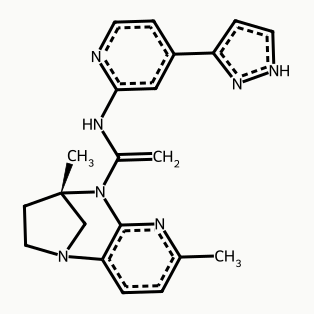 C=C(Nc1cc(-c2cc[nH]n2)ccn1)N1c2nc(C)ccc2N2CC[C@@]1(C)C2